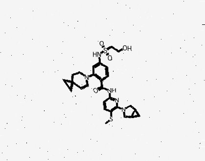 CSc1ccc(NC(=O)c2ccc(NS(=O)(=O)CCO)cc2N2CCC3(CC2)CC3)nc1N1CC2CC2C1